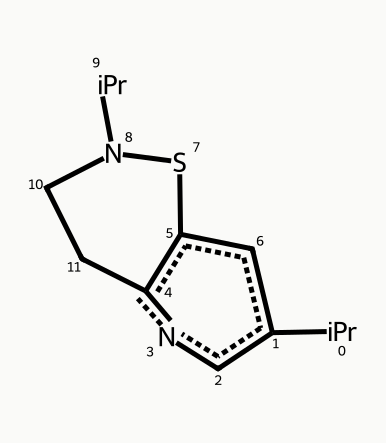 CC(C)c1cnc2c(c1)SN(C(C)C)CC2